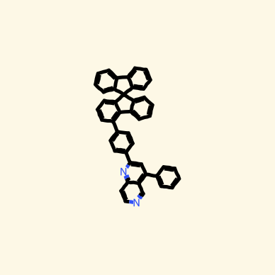 c1ccc(-c2cc(-c3ccc(-c4cccc5c4-c4ccccc4C54c5ccccc5-c5ccccc54)cc3)nc3ccncc23)cc1